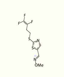 CO/N=C/c1cnc(SCCC(F)=C(F)F)s1